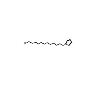 BrCCCCCCCCCCCCn1ccnc1